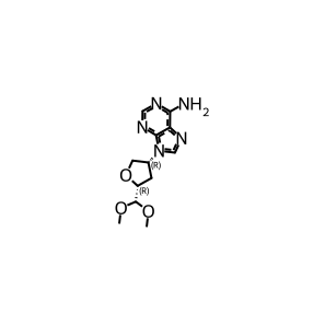 COC(OC)[C@H]1C[C@@H](n2cnc3c(N)ncnc32)CO1